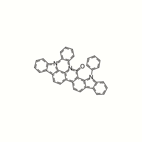 O=c1c2c(ccc3c4ccccc4n(-c4ccccc4)c32)c2ccc3c4ccccc4n4c5ccccc5n1c2c34